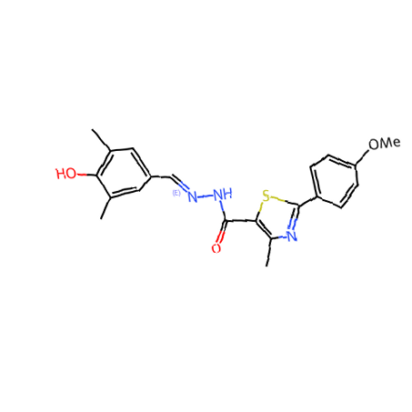 COc1ccc(-c2nc(C)c(C(=O)N/N=C/c3cc(C)c(O)c(C)c3)s2)cc1